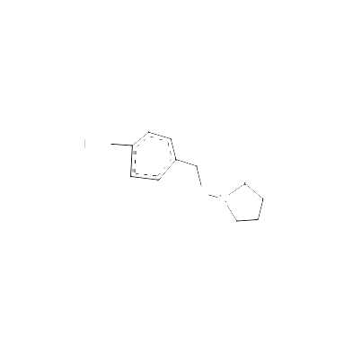 Cc1ccc(CSN2CCCC2)cc1